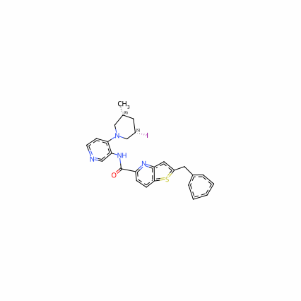 C[C@@H]1C[C@H](I)CN(c2ccncc2NC(=O)c2ccc3sc(Cc4ccccc4)cc3n2)C1